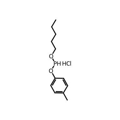 CCCCCOPOc1ccc(C)cc1.Cl